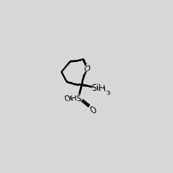 O=[SH](=O)C1([SiH3])CCCCO1